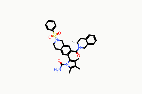 Cc1c(C)c(-c2cc3c(cc2C(=O)N2Cc4ccccc4C[C@H]2C)CN(S(=O)(=O)c2ccccc2)CC3)n(C(N)=O)c1C